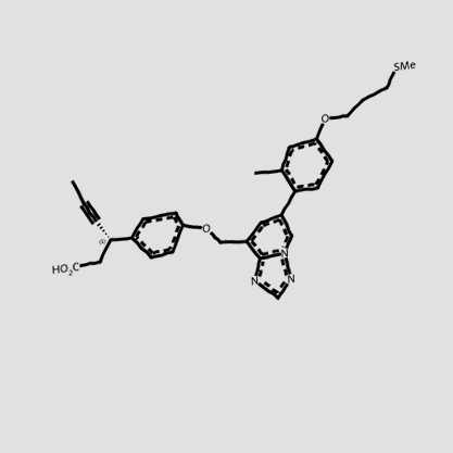 CC#C[C@@H](CC(=O)O)c1ccc(OCc2cc(-c3ccc(OCCCSC)cc3C)cn3ncnc23)cc1